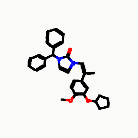 COc1ccc(/C(C)=C\n2ccn(C(c3ccccc3)c3ccccc3)c2=O)cc1OC1CCCC1